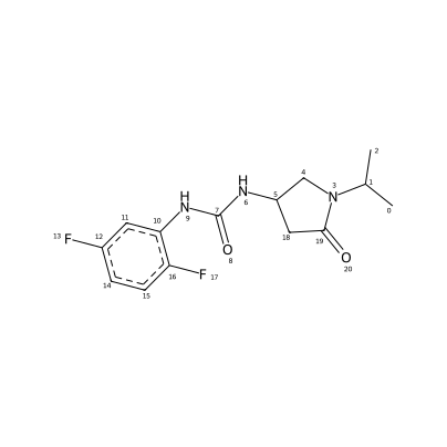 CC(C)N1CC(NC(=O)Nc2cc(F)ccc2F)CC1=O